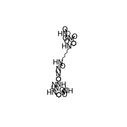 Cc1cnc(Nc2ccc(N3CCN(CC(=O)NCCCCCCCNc4cccc5c4C(=O)N(C4CCC(=O)NC4=O)C5=O)CC3)cc2)nc1Nc1cccc(S(=O)(=O)NC(C)(C)C)c1